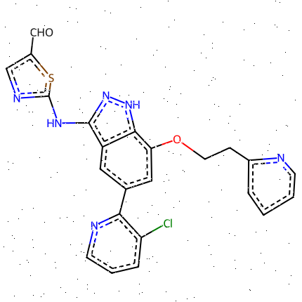 O=Cc1cnc(Nc2n[nH]c3c(OCCc4ccccn4)cc(-c4ncccc4Cl)cc23)s1